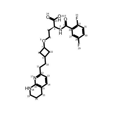 O=C(N[C@@H](CCOC1CC(CCc2ccc3c(n2)NCCC3)C1)C(=O)O)c1cc(F)ccc1F